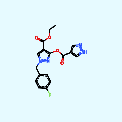 CCOC(=O)c1cn(Cc2ccc(F)cc2)nc1OC(=O)c1cn[nH]c1